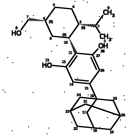 CC(C)[C@H]1CC[C@@H](CO)C[C@H]1c1c(O)cc(C23CC4CC(CC(C4)C2)C3)cc1O